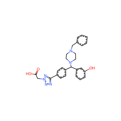 O=C(O)Cn1nnc(-c2ccc(C(c3cccc(O)c3)N3CCN(Cc4ccccc4)CC3)cc2)n1